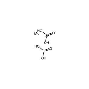 O=[Si](O)O.O=[Si](O)O.[Mo]